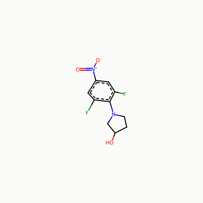 O=[N+]([O-])c1cc(F)c(N2CCC(O)C2)c(F)c1